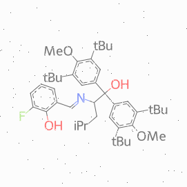 COc1c(C(C)(C)C)cc(C(O)(c2cc(C(C)(C)C)c(OC)c(C(C)(C)C)c2)C(CC(C)C)N=Cc2cccc(F)c2O)cc1C(C)(C)C